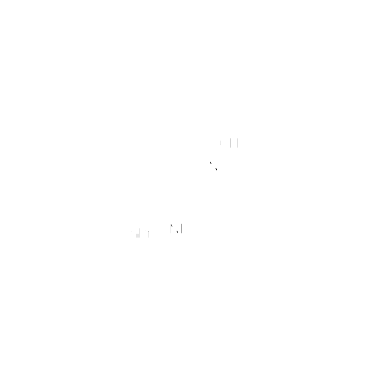 CCCNC1CCN(C)CC1